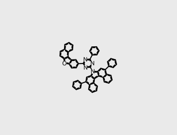 c1ccc(-c2nc(-c3ccc4oc5ccc6ccccc6c5c4c3)nc(-n3c4cc(-c5ccccc5)c5ccccc5c4c4c5ccccc5c(-c5ccccc5)cc43)n2)cc1